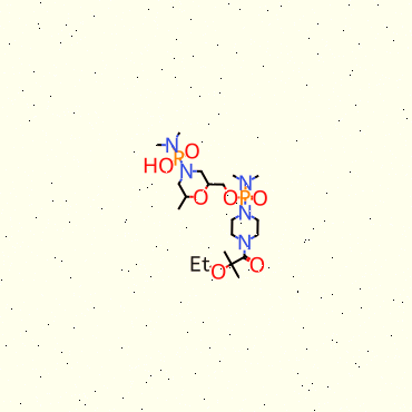 CCOC(C)(C)C(=O)N1CCN(P(=O)(OCC2CN(P(=O)(O)N(C)C)CC(C)O2)N(C)C)CC1